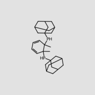 CC1(PC23CC4CC(CC(C4)C2)C3)C=CC=CC1(C)PC12CC3CC(CC(C3)C1)C2